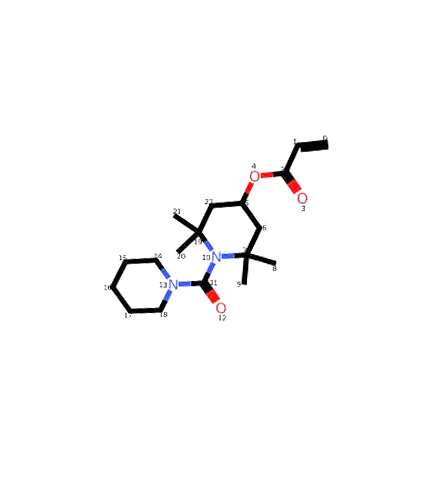 C=CC(=O)OC1CC(C)(C)N(C(=O)N2CCCCC2)C(C)(C)C1